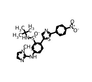 Cn1ccnc1Nc1ccc(-c2cnc(-c3ccc([N+](=O)[O-])cc3)s2)c([S+]([O-])NC(C)(C)C)c1